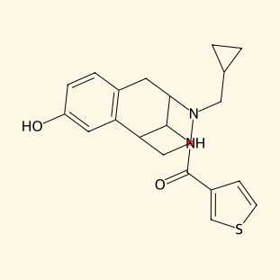 O=C(NC1C2CCN(CC3CC3)C1Cc1ccc(O)cc12)c1ccsc1